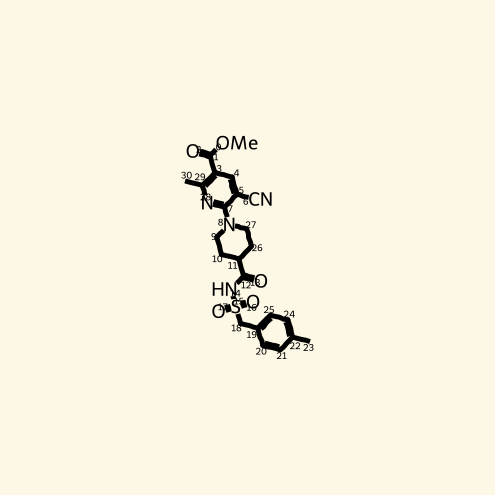 COC(=O)c1cc(C#N)c(N2CCC(C(=O)NS(=O)(=O)Cc3ccc(C)cc3)CC2)nc1C